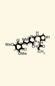 C=CC(=O)NC1CNCC1Nc1ncc(/C=C(\NC)c2c(Cl)c(OC)cc(OC)c2Cl)c(C=O)n1